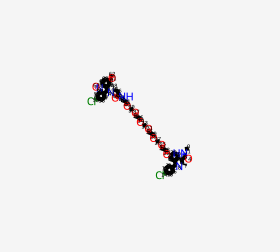 CCNC(=O)C[C@@H](C)/N=C(/c1ccc(Cl)cc1)c1cccc(OCCOCCOCCOCCOCCOCCOCCNC(=O)C[C@@H](C)/N=C(/c2ccc(Cl)cc2)c2cc(OC)ccc2N=O)c1